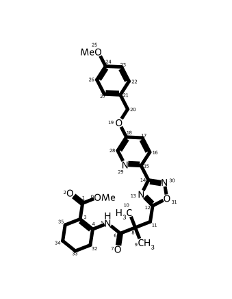 COC(=O)C1=C(NC(=O)C(C)(C)Cc2nc(-c3ccc(OCc4ccc(OC)cc4)cn3)no2)CCCC1